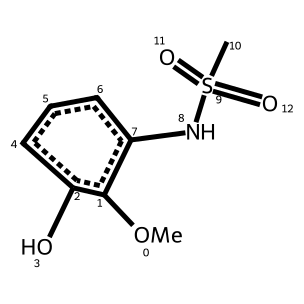 COc1c(O)cccc1NS(C)(=O)=O